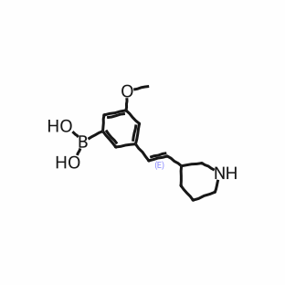 COc1cc(/C=C/C2CCCNC2)cc(B(O)O)c1